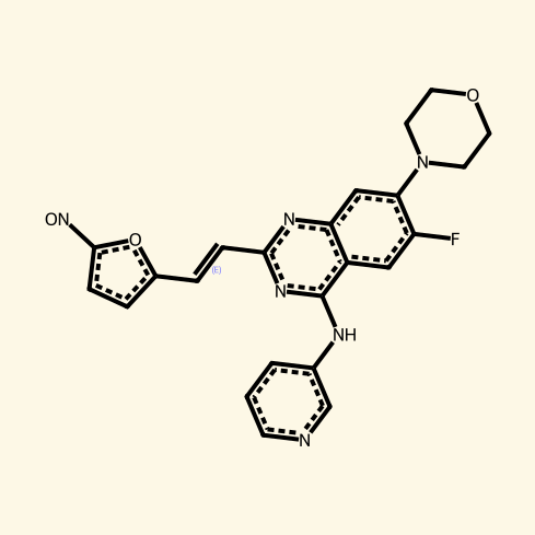 O=Nc1ccc(/C=C/c2nc(Nc3cccnc3)c3cc(F)c(N4CCOCC4)cc3n2)o1